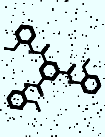 CCc1ccccc1NC(=O)c1cc(C(=O)Nc2ccccc2CC)cc(C(=O)Nc2ccccc2CC)c1